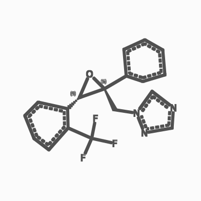 FC(F)(F)c1ccccc1[C@@H]1O[C@]1(Cn1cncn1)c1ccccc1